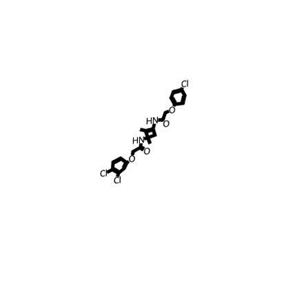 CC1=C(NC(=O)COc2ccc(Cl)cc2)CC1(C)NC(=O)COc1ccc(Cl)c(Cl)c1